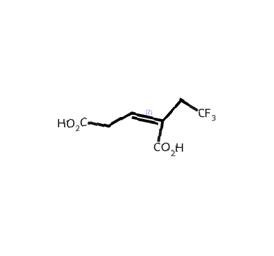 O=C(O)C/C=C(/CC(F)(F)F)C(=O)O